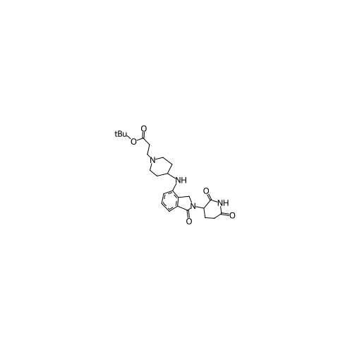 CC(C)(C)OC(=O)CCN1CCC(Nc2cccc3c2CN(C2CCC(=O)NC2=O)C3=O)CC1